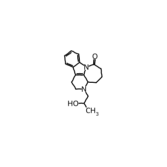 CC(O)CN1CCc2c3n(c4ccccc24)C(=O)CCCC31